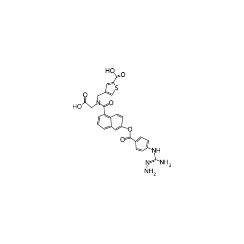 NN=C(N)Nc1ccc(C(=O)Oc2ccc3c(C(=O)N(CC(=O)O)Cc4csc(C(=O)O)c4)cccc3c2)cc1